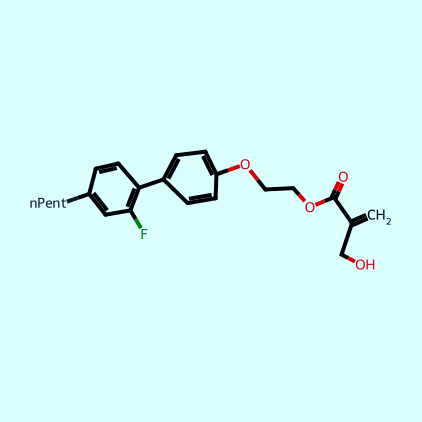 C=C(CO)C(=O)OCCOc1ccc(-c2ccc(CCCCC)cc2F)cc1